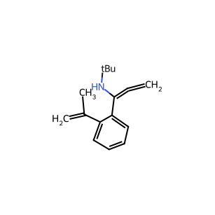 C=C=C(NC(C)(C)C)c1ccccc1C(=C)C